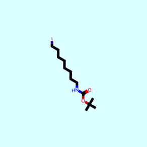 CC(C)(C)OC(=O)NCCCCCCCCI